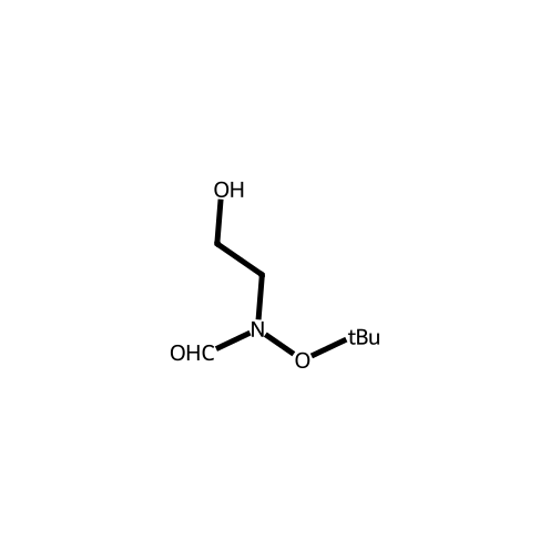 CC(C)(C)ON(C=O)CCO